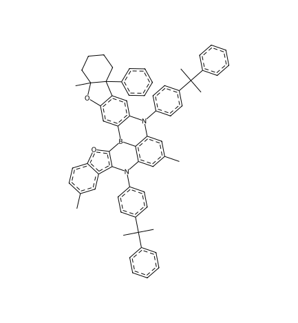 Cc1cc2c3c(c1)N(c1ccc(C(C)(C)c4ccccc4)cc1)c1c(oc4ccc(C)cc14)B3c1cc3c(cc1N2c1ccc(C(C)(C)c2ccccc2)cc1)C1(c2ccccc2)CCCCC1(C)O3